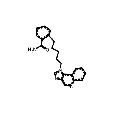 NC(=O)c1ccccc1CCCCCn1cnc2cnc3ccccc3c21